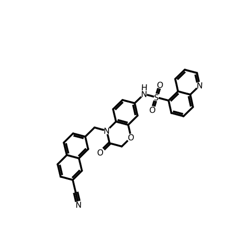 N#Cc1ccc2ccc(CN3C(=O)COc4cc(NS(=O)(=O)c5cccc6ncccc56)ccc43)cc2c1